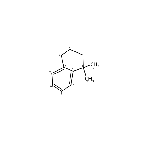 CC1(C)CCCc2c[c]ccc21